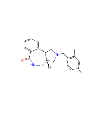 Cc1ccc(CN2CC3c4ccccc4C(=O)NC[C@H]3C2)c(C)c1